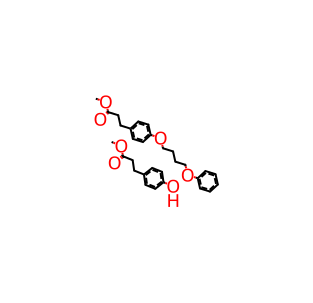 COC(=O)CCc1ccc(O)cc1.COC(=O)CCc1ccc(OCCCCOc2ccccc2)cc1